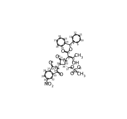 CC(O)=C(C(=O)OC(c1ccccc1)c1ccccc1)N1C(=O)[C@@H](N2C(=O)c3ccc([N+](=O)[O-])cc3C2=O)[C@H]1COS(C)(=O)=O